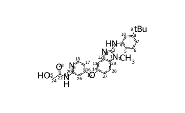 Cn1c(Nc2cccc(C(C)(C)C)c2)nc2cc(Oc3ccnc(NC(=O)CO)c3)ccc21